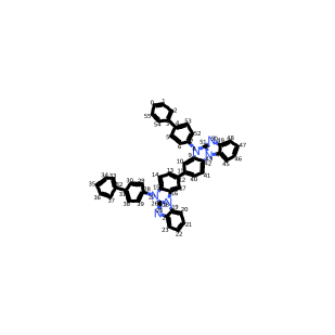 c1ccc(-c2ccc(-n3c4cc(-c5ccc6c(c5)n5c7ccccc7nc5n6-c5ccc(-c6ccccc6)cc5)ccc4n4c5ccccc5nc34)cc2)cc1